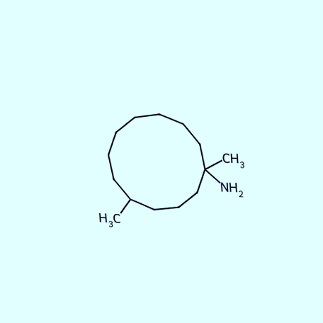 CC1CCCCCCCC(C)(N)CCC1